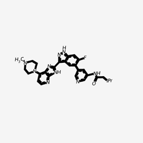 CC(C)CC(=O)Nc1cncc(-c2cc3c(-c4nc5c(N6CCN(C)CC6)ccnc5[nH]4)n[nH]c3cc2F)c1